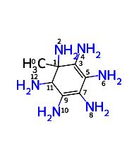 CC1(N)C(N)=C(N)C(N)=C(N)C1N